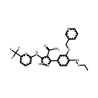 CCSNc1ccc(-c2n[nH]c(Nc3cccc(C(F)(F)F)n3)c2C(N)=O)cc1OCc1cccnc1